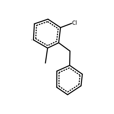 Cc1[c]ccc(Cl)c1Cc1ccccc1